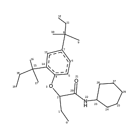 CCC(Oc1ccc(C(C)(C)CC)cc1C(C)(C)CC)C(=O)NC1[CH]CCCC1